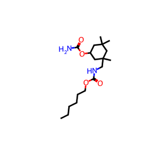 CCCCCCOC(=O)NCC1(C)CC(OC(N)=O)CC(C)(C)C1